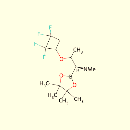 CN[C@@H](B1OC(C)(C)C(C)(C)O1)C(C)OC1CC(F)(F)C1(F)F